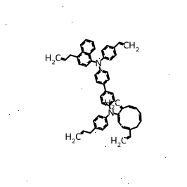 C=CCc1ccc(N(/C2=C/C=C(/C=C)C/C=C\C=C/C2=C)c2ccc(-c3ccc(N(c4ccc(C=C)cc4)c4ccc(CC=C)c5ccccc45)cc3)cc2)cc1